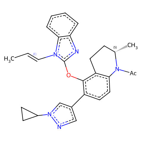 C/C=C/n1c(Oc2c(-c3cnn(C4CC4)c3)ccc3c2CC[C@H](C)N3C(C)=O)nc2ccccc21